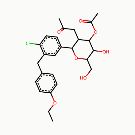 CCOc1ccc(Cc2cc(C3OC(CO)C(O)C(OC(C)=O)C3CC(C)=O)ccc2Cl)cc1